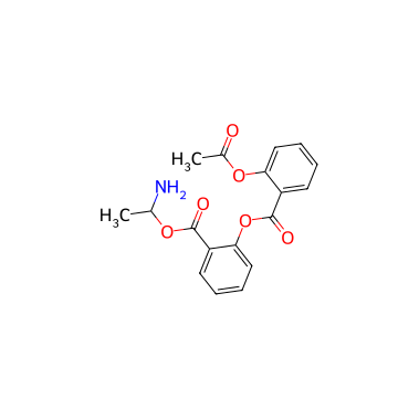 CC(=O)Oc1ccccc1C(=O)Oc1ccccc1C(=O)OC(C)N